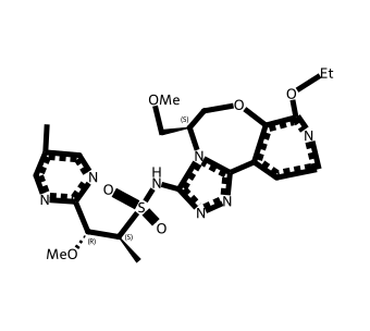 CCOc1nccc2c1OC[C@H](COC)n1c(NS(=O)(=O)[C@@H](C)[C@H](OC)c3ncc(C)cn3)nnc1-2